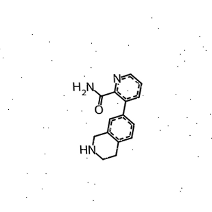 NC(=O)c1ncccc1-c1ccc2c(c1)CNCC2